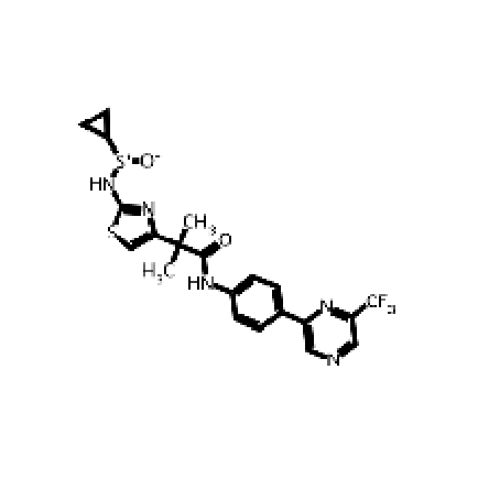 CC(C)(C(=O)Nc1ccc(-c2cncc(C(F)(F)F)n2)cc1)c1csc(N[S+]([O-])C2CC2)n1